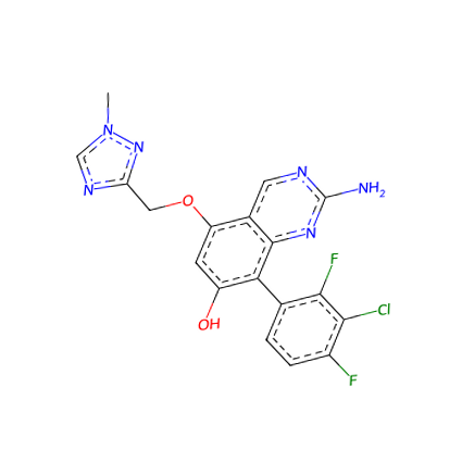 Cn1cnc(COc2cc(O)c(-c3ccc(F)c(Cl)c3F)c3nc(N)ncc23)n1